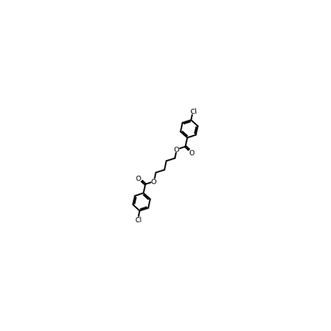 O=C(OCCCCOC(=O)c1ccc(Cl)cc1)c1ccc(Cl)cc1